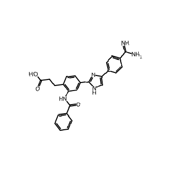 N=C(N)c1ccc(-c2c[nH]c(-c3ccc(CCC(=O)O)c(NC(=O)c4ccccc4)c3)n2)cc1